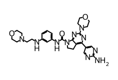 Nc1ncc(-c2nc(N3CCOCC3)nc3c2CCN3C(=O)Nc2cccc(NCCN3CCOCC3)c2)cn1